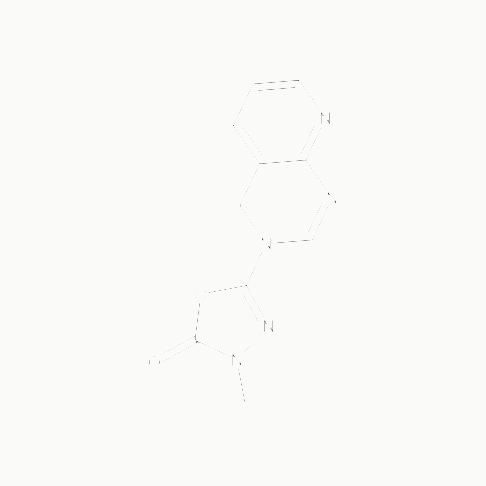 Cn1nc(N2C=Nc3ncccc3C2)oc1=O